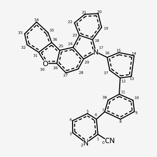 N#Cc1ncccc1-c1cccc(-c2cccc(-n3c4ccccc4c4c5c(ccc43)oc3ccccc35)c2)c1